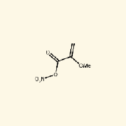 C=C(OC)C(=O)O[N+](=O)[O-]